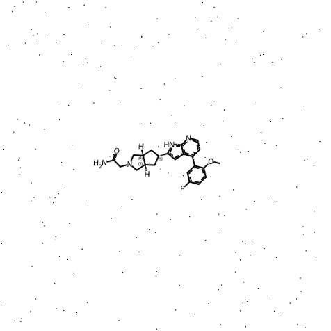 COc1ccc(F)cc1-c1ccnc2[nH]c([C@H]3C[C@@H]4CN(CC(N)=O)C[C@@H]4C3)cc12